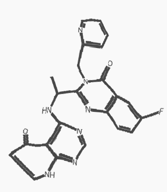 CC(Nc1ncnc2[nH]ccc(=O)c12)c1nc2ccc(F)cc2c(=O)n1Cc1ccccn1